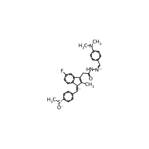 CC1=C(CC(=O)N/N=C\c2ccc(N(C)C)cc2)c2cc(F)ccc2/C1=C\c1ccc([S+](C)[O-])cc1